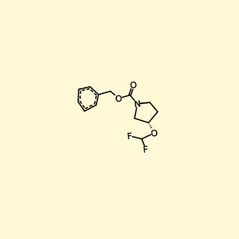 O=C(OCc1ccccc1)N1CC[C@H](OC(F)F)C1